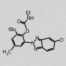 CCNC(=O)Oc1c(-n2nc3ccc(Cl)cc3n2)cc(C)cc1C(C)(C)C